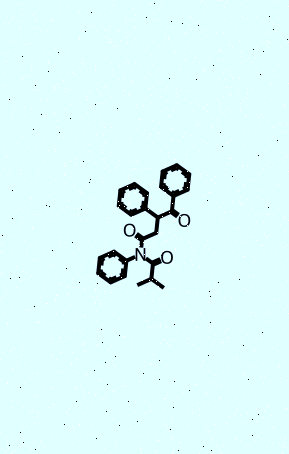 CC(C)C(=O)N(C(=O)CC(C(=O)c1ccccc1)c1ccccc1)c1ccccc1